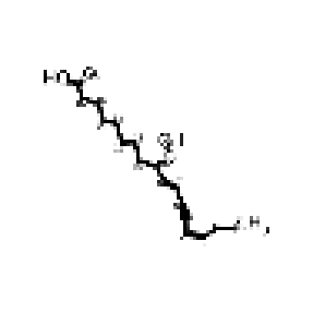 CCC/C=C\C#C/C=C/C(CCCCCCCC(=O)O)OO